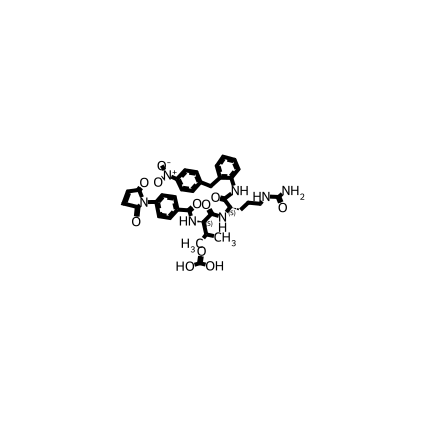 CC(C)[C@H](NC(=O)c1ccc(N2C(=O)C=CC2=O)cc1)C(=O)N[C@@H](CCCNC(N)=O)C(=O)Nc1ccccc1Cc1ccc([N+](=O)[O-])cc1.O=C(O)O